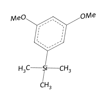 COc1cc(OC)cc([Si](C)(C)C)c1